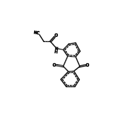 N#CCC(=O)Nc1cccc2c1C(=O)c1ccccc1C2=O